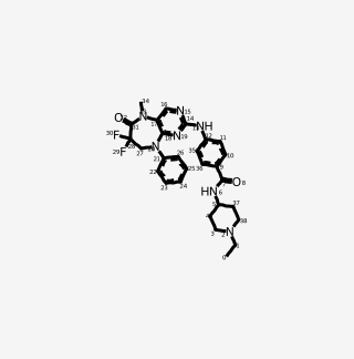 CCN1CCC(NC(=O)c2ccc(Nc3ncc4c(n3)N(c3ccccc3)CC(F)(F)C(=O)N4C)cc2)CC1